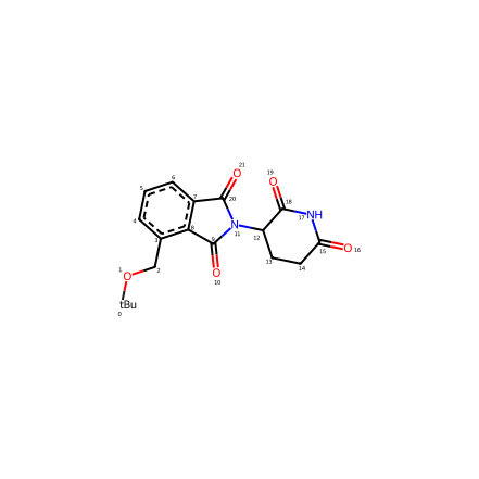 CC(C)(C)OCc1cccc2c1C(=O)N(C1CCC(=O)NC1=O)C2=O